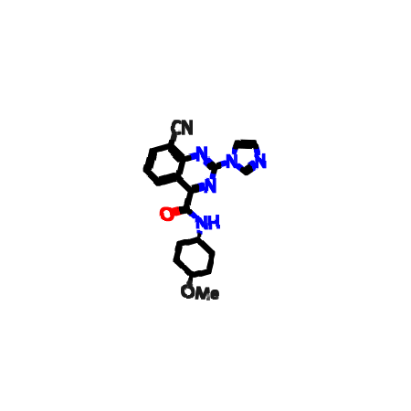 CO[C@H]1CC[C@H](NC(=O)c2nc(-n3ccnc3)nc3c(C#N)cccc23)CC1